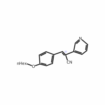 CCCCCCOc1ccc(/C=C(\C#N)c2cccnc2)cc1